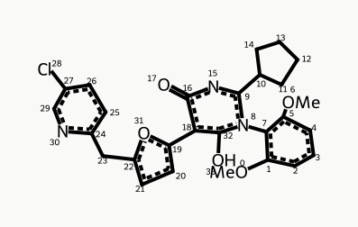 COc1cccc(OC)c1-n1c(C2CCCC2)nc(=O)c(-c2ccc(Cc3ccc(Cl)cn3)o2)c1O